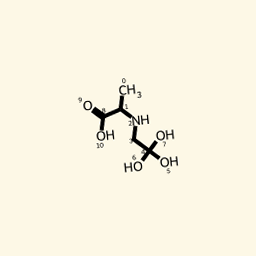 CC(NCC(O)(O)O)C(=O)O